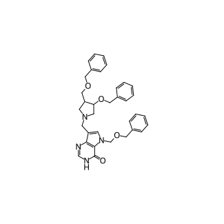 O=c1[nH]cnc2c(CN3CC(COCc4ccccc4)C(OCc4ccccc4)C3)cn(COCc3ccccc3)c12